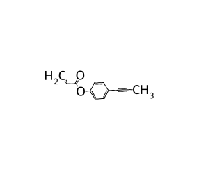 C=CC(=O)Oc1ccc(C#CC)cc1